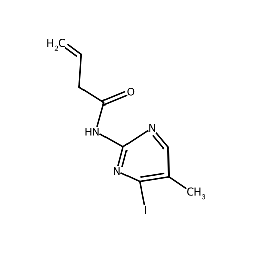 C=CCC(=O)Nc1ncc(C)c(I)n1